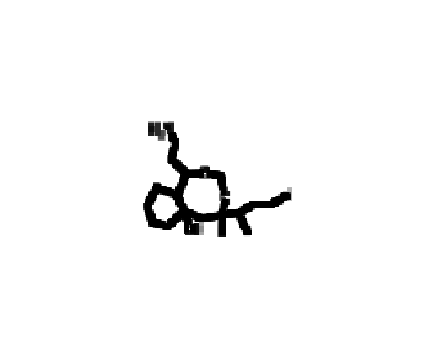 CC(CCI)C1(C)CCCC(CCN)C2CCCCC2(O)C1